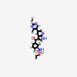 CCCS(=O)(=O)Nc1c(F)ccc(C(=O)c2c[nH]c3ncc(-c4cnc(SC)nc4C)cc23)c1F